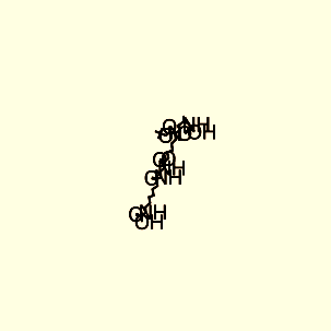 CC(CCN(CCCCOC(=O)NCNC(=O)CCCCCCNC(=O)O)C(=O)OC(C)(C)C)NC(=O)O